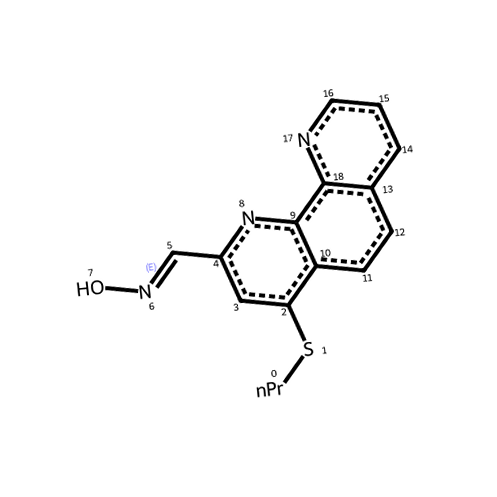 CCCSc1cc(/C=N/O)nc2c1ccc1cccnc12